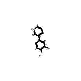 Fc1ccc(-c2cc[c]nc2)cc1F